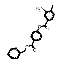 Cc1ccc(C(=O)Oc2ccc(C(=O)OCc3ccccc3)cc2)cc1N